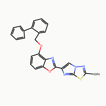 CSc1nn2cc(-c3nc4c(OCc5ccccc5-c5ccccc5)cccc4o3)nc2s1